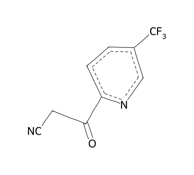 N#CCC(=O)c1ccc(C(F)(F)F)cn1